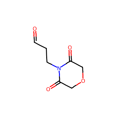 O=CCCN1C(=O)COCC1=O